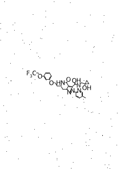 Cc1ccc(-n2nc3c(c2C(=O)NCC2(O)CC2)C(=O)NC(CCOc2cccc(OCC(F)(F)F)c2)C3)nc1